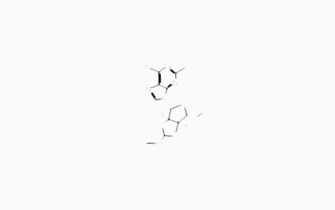 COC1O[C@@H]2[C@H](O1)[C@@H](CO)O[C@H]2n1cnc2c(N)nc(Cl)nc21